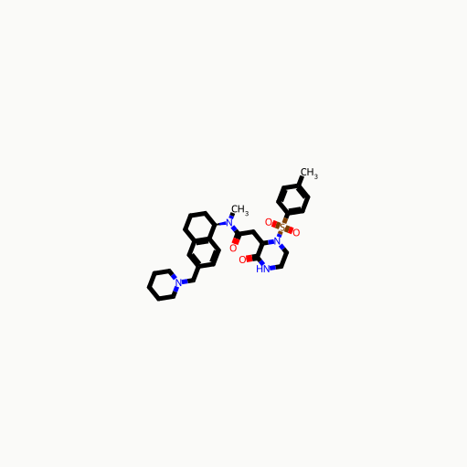 Cc1ccc(S(=O)(=O)N2CCNC(=O)C2CC(=O)N(C)[C@@H]2CCCc3cc(CN4CCCCC4)ccc32)cc1